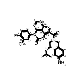 CC(C)OCCN(Cc1ccc(N)cc1)C(=O)c1sc2ncnc3c2c1NC(=O)N3c1ccc(F)c(Cl)c1